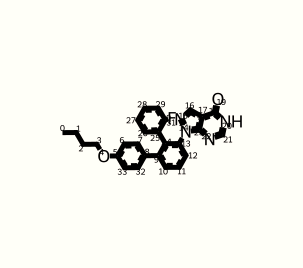 CCCCOc1ccc(-c2cccc(-n3ncc4c(=O)[nH]cnc43)c2-c2ccccc2F)cc1